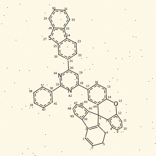 C1=CC2=C(CC1)C1(c3ccccc3Oc3ccc(-c4cc(-c5ccc6c(c5)sc5ccccc56)nc(-c5ccccc5)n4)cc31)c1ccccc12